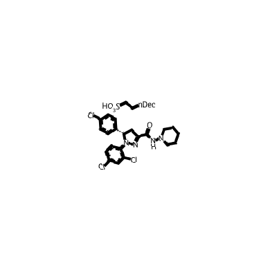 CCCCCCCCCCCCS(=O)(=O)O.O=C(NN1CCCCC1)C1=NN(c2ccc(Cl)cc2Cl)[C@H](c2ccc(Cl)cc2)C1